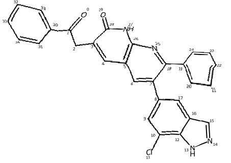 O=C(Cc1cc2cc(-c3cc(Cl)c4[nH]ncc4c3)c(-c3ccccc3)nc2[nH]c1=O)c1ccccc1